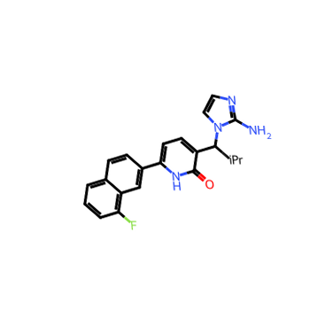 CC(C)C(c1ccc(-c2ccc3cccc(F)c3c2)[nH]c1=O)n1ccnc1N